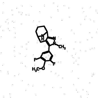 COc1c(F)cc(-c2c3c(nn2C)C2CCCC(C3)N2)cc1F